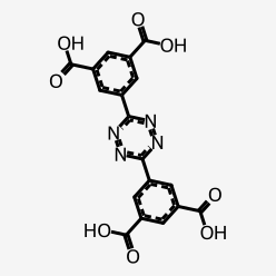 O=C(O)c1cc(C(=O)O)cc(-c2nnc(-c3cc(C(=O)O)cc(C(=O)O)c3)nn2)c1